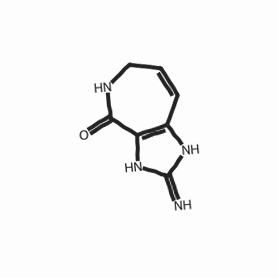 N=c1[nH]c2c([nH]1)C(=O)NCC=C2